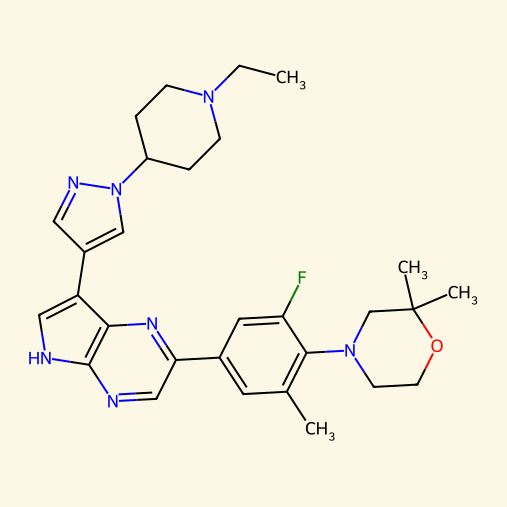 CCN1CCC(n2cc(-c3c[nH]c4ncc(-c5cc(C)c(N6CCOC(C)(C)C6)c(F)c5)nc34)cn2)CC1